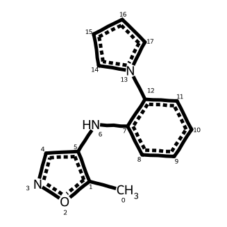 Cc1oncc1Nc1ccccc1-n1cccc1